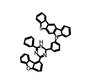 c1ccc(C2=NC(c3cccc4oc5ccccc5c34)=NC(c3cccc(-n4c5ccccc5c5cc6c(cc54)sc4ccccc46)c3)N2)cc1